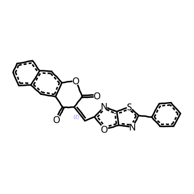 O=C1Oc2cc3ccccc3cc2C(=O)/C1=C/c1nc2sc(-c3ccccc3)nc2o1